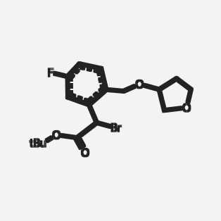 CC(C)(C)OC(=O)C(Br)c1cc(F)ccc1COC1CCOC1